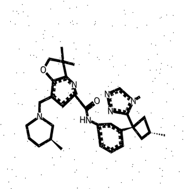 C[C@H]1CCCN(Cc2cc(C(=O)Nc3cccc([C@]4(c5nncn5C)C[C@@H](C)C4)c3)nc3c2OCC3(C)C)C1